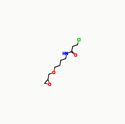 O=C(CCCl)NCCCCOCC1CO1